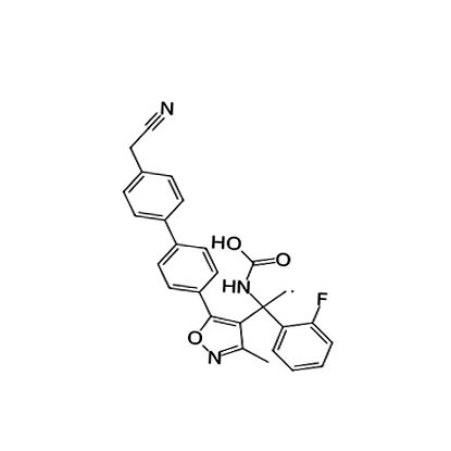 [CH2]C(NC(=O)O)(c1ccccc1F)c1c(C)noc1-c1ccc(-c2ccc(CC#N)cc2)cc1